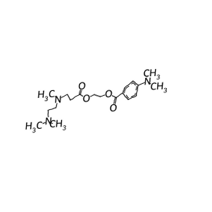 CN(C)CCN(C)CCC(=O)OCCOC(=O)c1ccc(N(C)C)cc1